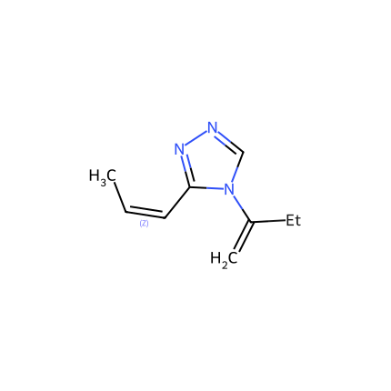 C=C(CC)n1cnnc1/C=C\C